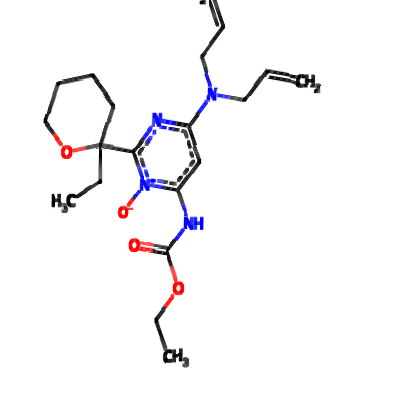 C=CCN(CC=C)c1cc(NC(=O)OCC)[n+]([O-])c(C2(CC)CCCCO2)n1